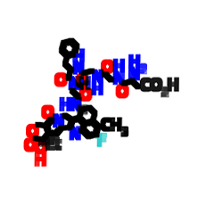 CC[C@@]1(O)C(=O)OCc2c1cc1n(c2=O)Cc2c-1nc1cc(F)c(C)c3c1c2[C@@H](NC(=O)CNC(=O)C(Cc1ccccc1)NC(=O)CNC(=O)CNC(=O)C(N)CC(=O)O)CC3